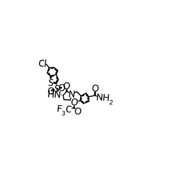 NC(=O)c1ccc(OC(=O)C(F)(F)F)c(CN2CC[C@H](NS(=O)(=O)c3cc4ccc(Cl)cc4s3)C2=O)c1